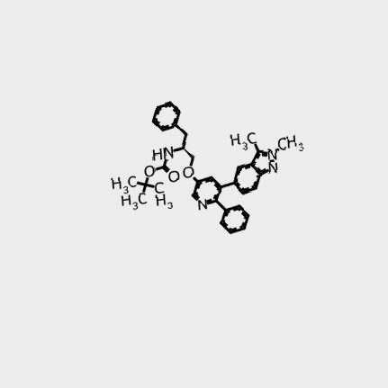 Cc1c2cc(-c3cc(OC[C@H](Cc4ccccc4)NC(=O)OC(C)(C)C)cnc3-c3ccccc3)ccc2nn1C